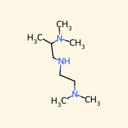 CC(CNCCN(C)C)N(C)C